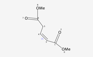 COC(=O)/C=C\CC(=O)OC